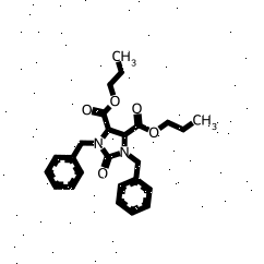 CCCOC(=O)C1C(C(=O)OCCC)N(Cc2ccccc2)C(=O)N1Cc1ccccc1